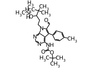 Cc1ccc(-c2c(C=O)n(CCC(O[SiH](C)C)C(C)(C)C)c3ncnc(NC(=O)OC(C)(C)C)c23)cc1